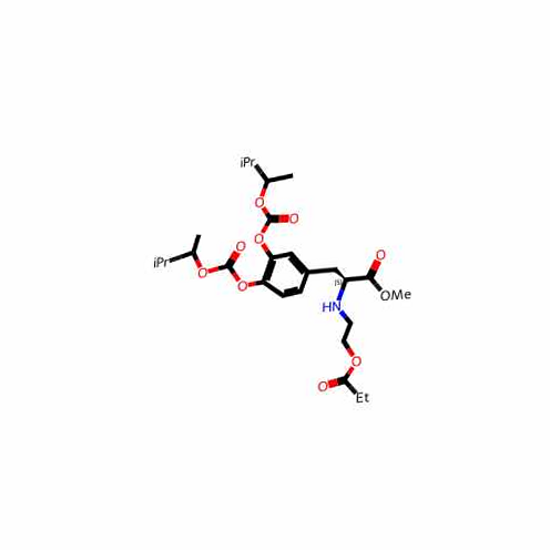 CCC(=O)OCCN[C@@H](Cc1ccc(OC(=O)OC(C)C(C)C)c(OC(=O)OC(C)C(C)C)c1)C(=O)OC